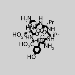 CC[C@H](C)[C@H](NC(=O)[C@H](CC(=O)O)NC(=O)[C@H](CC(N)=O)NC(=O)[C@@H](NC(=O)[C@@H](NC(=O)[C@@H](N)Cc1ccc(O)cc1)C(C)C)C(C)C)C(=O)O